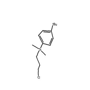 CC(C)(C)c1ccc([Si](C)(C)CCCCl)cc1